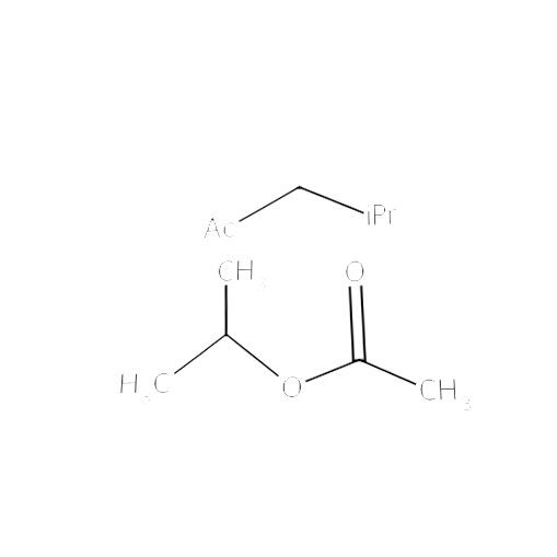 CC(=O)CC(C)C.CC(=O)OC(C)C